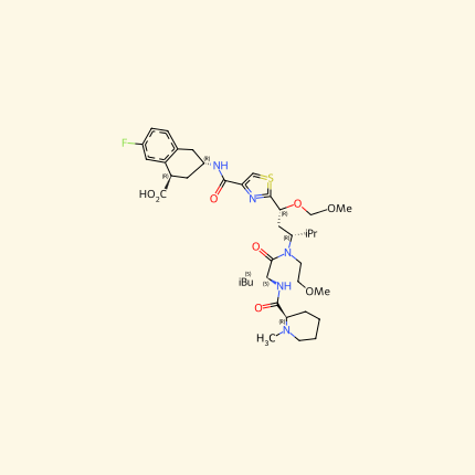 CC[C@H](C)[C@H](NC(=O)[C@H]1CCCCN1C)C(=O)N(CCOC)[C@H](C[C@@H](OCOC)c1nc(C(=O)N[C@H]2Cc3ccc(F)cc3[C@H](C(=O)O)C2)cs1)C(C)C